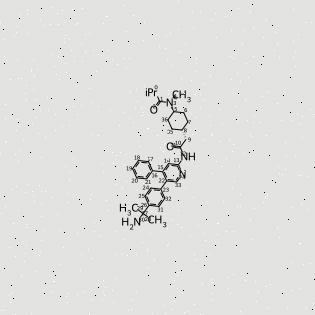 CC(C)C(=O)N(C)[C@H]1CC[C@H](CC(=O)Nc2cc(-c3ccccc3)c(-c3ccc(C(C)(C)N)cc3)cn2)CC1